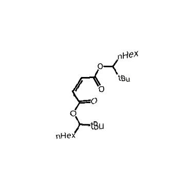 CCCCCCC(OC(=O)/C=C\C(=O)OC(CCCCCC)C(C)(C)C)C(C)(C)C